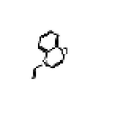 C=CN1C=COc2ccccc21